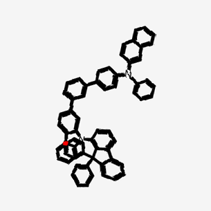 c1ccc(N(c2ccc(-c3cccc(-c4ccc5c6ccccc6n(-c6cccc7c6C(c6ccccc6)(c6ccccc6)c6ccccc6-7)c5c4)c3)cc2)c2ccc3ccccc3c2)cc1